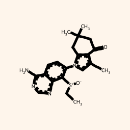 CC[S+]([O-])c1c(-n2cc(C)c3c2CC(C)(C)CC3=O)ccc2c(N)ncnc12